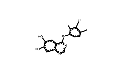 Oc1cc2ncnc(Nc3ccc(F)c(Cl)c3F)c2cc1O